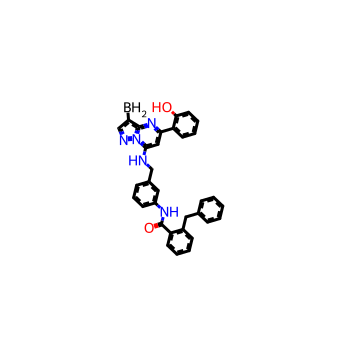 Bc1cnn2c(NCc3cccc(NC(=O)c4ccccc4Cc4ccccc4)c3)cc(-c3ccccc3O)nc12